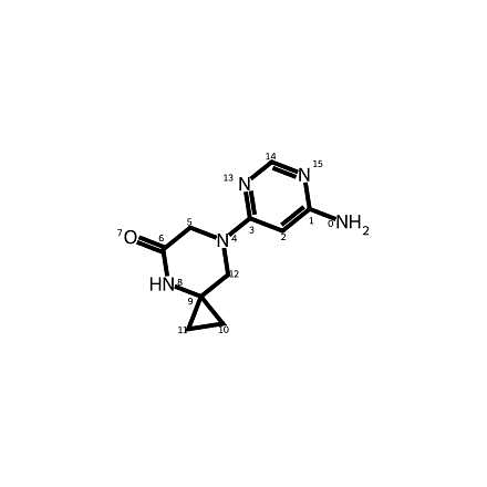 Nc1cc(N2CC(=O)NC3(CC3)C2)ncn1